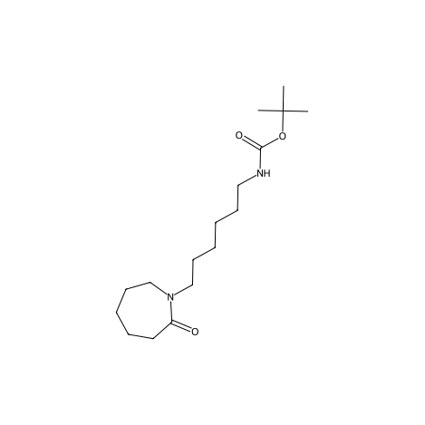 CC(C)(C)OC(=O)NCCCCCCN1CCCCCC1=O